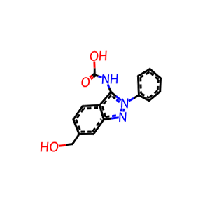 O=C(O)Nc1c2ccc(CO)cc2nn1-c1ccccc1